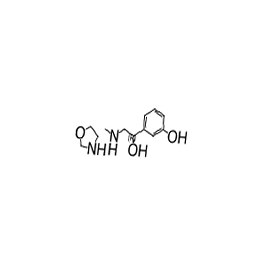 C1COCN1.CNC[C@H](O)c1cccc(O)c1